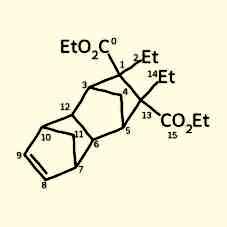 CCOC(=O)C1(CC)C2CC(C3C4C=CC(C4)C32)C1(CC)C(=O)OCC